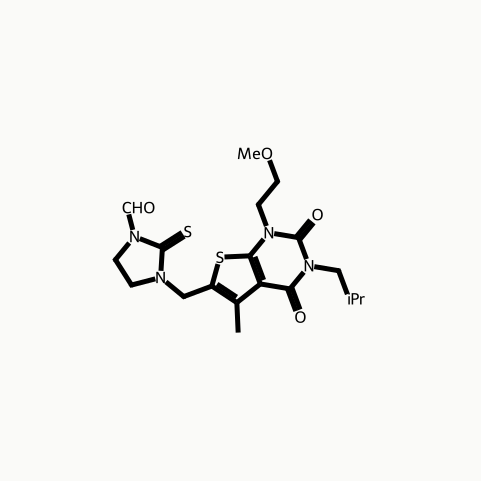 COCCn1c(=O)n(CC(C)C)c(=O)c2c(C)c(CN3CCN(C=O)C3=S)sc21